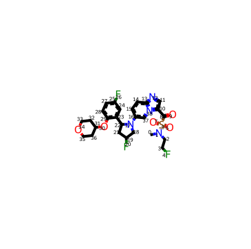 CN(CCF)S(=O)(=O)C(=O)c1cnc2ccc(N3CC(F)CC3c3cc(F)ccc3OC3CCOCC3)cn12